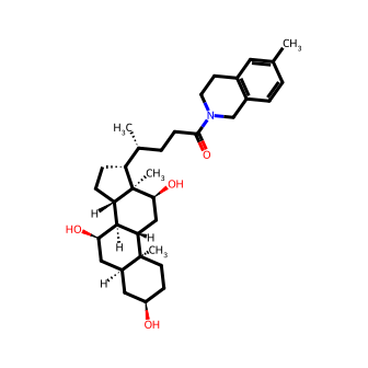 Cc1ccc2c(c1)CCN(C(=O)CC[C@@H](C)[C@H]1CC[C@H]3[C@@H]4[C@H](O)C[C@@H]5C[C@H](O)CC[C@]5(C)[C@H]4C[C@H](O)[C@]13C)C2